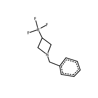 F[B-](F)(F)C1CN(Cc2ccccc2)C1